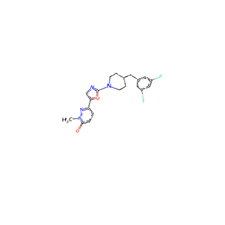 Cn1nc(-c2cnc(N3CCC(Cc4cc(F)cc(F)c4)CC3)o2)ccc1=O